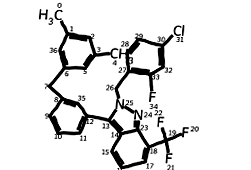 Cc1cc(C)cc(Cc2cccc(-c3c4cccc(C(F)(F)F)c4nn3Cc3ccc(Cl)cc3F)c2)c1